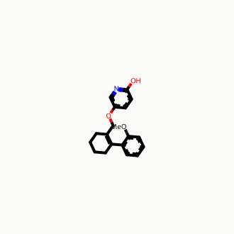 COc1ccccc1C1=C(COc2ccc(O)nc2)CCCC1